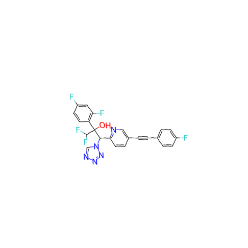 OC(c1ccc(F)cc1F)(C(F)F)C(c1ccc(C#Cc2ccc(F)cc2)cn1)n1cnnn1